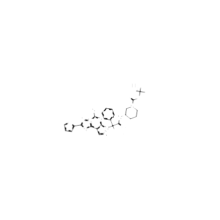 CC(C)(C)OC(=O)N1CCC[C@@H](NC(=O)C(C)(c2ccccc2)n2ncc3c2nc(N)n2nc(-c4ccco4)nc32)C1